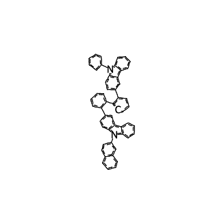 c1ccc(-n2c3ccccc3c3cc(-c4ccccc4-c4ccccc4-c4ccc5c(c4)c4ccccc4n5-c4ccc5ccccc5c4)ccc32)cc1